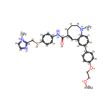 CCCCOCCOc1ccc(-c2ccc3c(c2)C=C(C(=O)Nc2ccc(SCc4nccn4CCC)cc2)CCCN3CCC)cc1